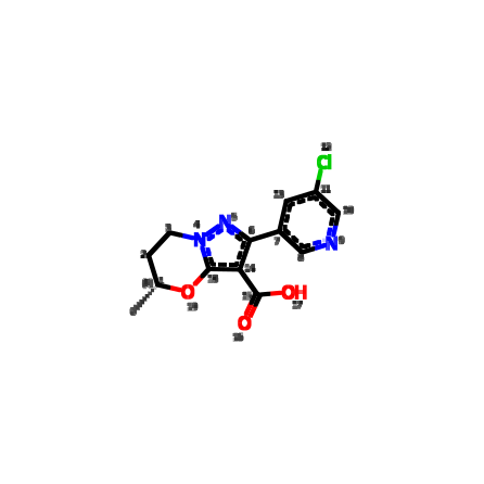 C[C@@H]1CCn2nc(-c3cncc(Cl)c3)c(C(=O)O)c2O1